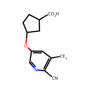 N#Cc1ncc(OC2CCC(C(=O)O)C2)cc1C(F)(F)F